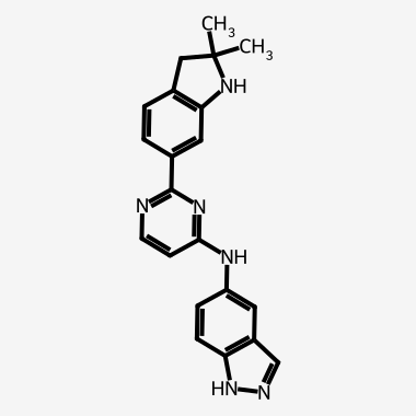 CC1(C)Cc2ccc(-c3nccc(Nc4ccc5[nH]ncc5c4)n3)cc2N1